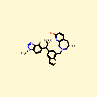 CC[C@H]1Cc2ccc(O)nc2CN(Cc2cc(C(CC(=O)O)c3ccc4c(nnn4C)c3Cl)cc3ccsc23)C1